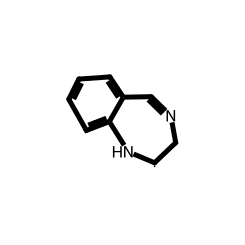 [CH]1CN=Cc2ccccc2N1